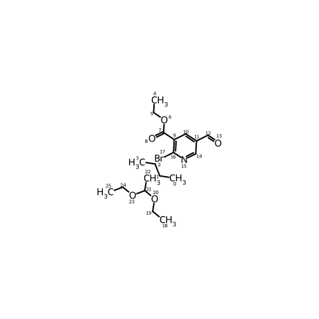 CCCC.CCOC(=O)c1cc(C=O)cnc1Br.CCOC(C)OCC